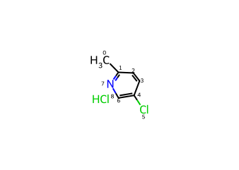 Cc1ccc(Cl)cn1.Cl